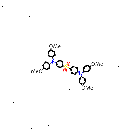 COc1ccc(N(c2ccc(OC)cc2)c2ccc(S(=O)(=O)c3ccc(N(c4ccc(OC)cc4)c4ccc(OC)cc4)cc3)cc2)cc1